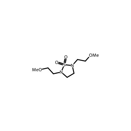 COCCN1CCN(CCOC)S1(=O)=O